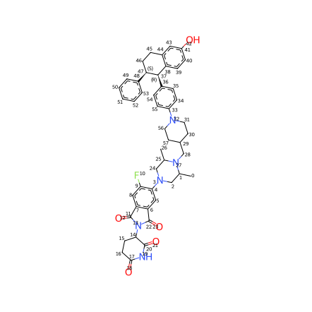 CC1CN(c2cc3c(cc2F)C(=O)N(C2CCC(=O)NC2=O)C3=O)CC(C)N1CC1CCN(c2ccc([C@@H]3c4ccc(O)cc4CC[C@@H]3c3ccccc3)cc2)CC1